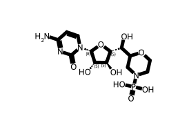 Nc1ccn([C@@H]2O[C@H](C(O)C3CN(P(=O)(O)O)CCO3)[C@@H](O)[C@@H]2O)c(=O)n1